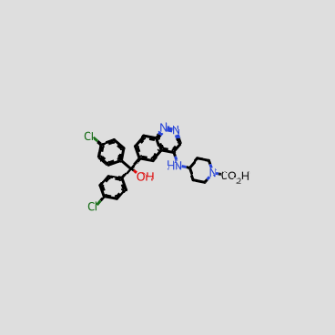 O=C(O)N1CCC(Nc2cnnc3ccc(C(O)(c4ccc(Cl)cc4)c4ccc(Cl)cc4)cc23)CC1